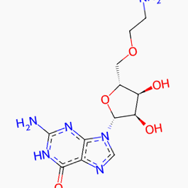 NCCOC[C@H]1O[C@@H](n2cnc3c(=O)[nH]c(N)nc32)[C@H](O)[C@@H]1O